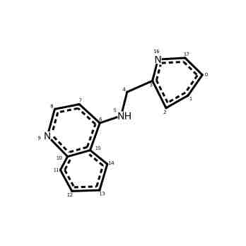 c1ccc(CNc2ccnc3ccccc23)nc1